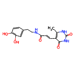 Cc1[nH]c(=O)[nH]c(=O)c1/C=C/C(=O)NCCc1ccc(O)c(O)c1